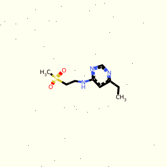 CCc1cc(NCCS(C)(=O)=O)ncn1